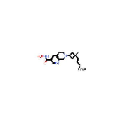 COCCC[C@]1(C)C[C@H](N2CCc3cc(C(=O)NO)cnc3C2)C1